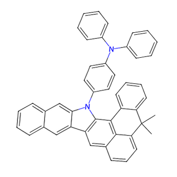 CC1(C)c2ccccc2-c2c3c1cccc3cc1c3cc4ccccc4cc3n(-c3ccc(N(c4ccccc4)c4ccccc4)cc3)c21